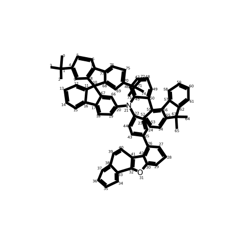 CC(C)(C)c1ccc2c(c1)C1(c3ccccc3-c3ccc(N(c4ccc(-c5cccc6oc7c8ccccc8ccc7c56)cc4)c4ccccc4-c4cccc5c4-c4ccccc4C5(C)C)cc31)c1cc(C(C)(C)C)ccc1-2